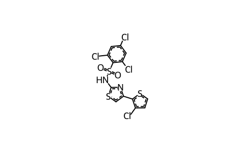 O=S(=O)(Nc1nc(-c2sccc2Cl)cs1)c1c(Cl)cc(Cl)cc1Cl